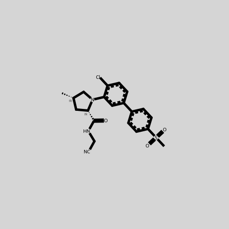 C[C@H]1C[C@@H](C(=O)NCC#N)N(c2cc(-c3ccc(S(C)(=O)=O)cc3)ccc2Cl)C1